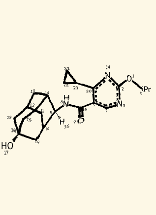 CC(C)Oc1ncc(C(=O)N[C@H]2C3CC4CC2C[C@@](O)(C4)C3)c(C2CC2)n1